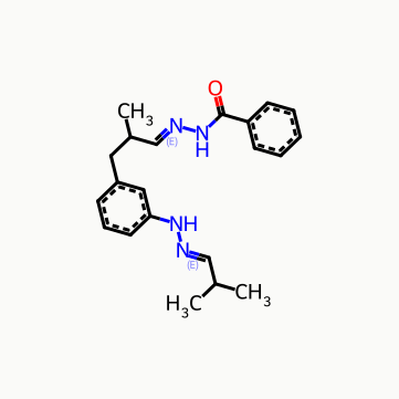 CC(C)/C=N/Nc1cccc(CC(C)/C=N/NC(=O)c2ccccc2)c1